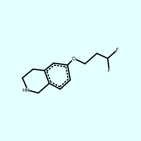 FC(F)CCOc1ccc2c(c1)CCNC2